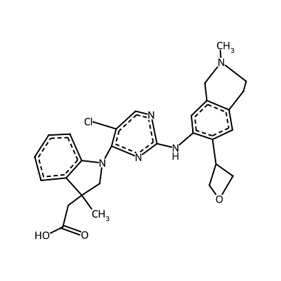 CN1CCc2cc(C3COC3)c(Nc3ncc(Cl)c(N4CC(C)(CC(=O)O)c5ccccc54)n3)cc2C1